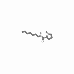 CCCCCCCNC(=O)[C@@H]1CCCN1C